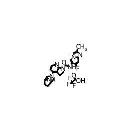 Cc1cn2cc(NC(=O)N3CCc4c(N5CC6CCC(C5)N6)ccnc43)c(F)cc2n1.O=C(O)C(F)(F)F